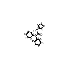 O=C(Oc1cccs1)C(c1ccccc1)c1ccccc1